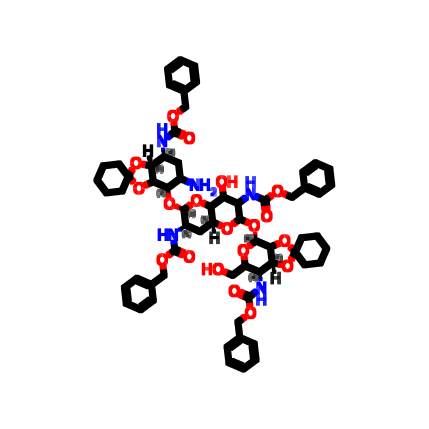 NC1C[C@@H](NC(=O)OCc2ccccc2)[C@H]2OC3(CCCCC3)OC2[C@@H]1O[C@H]1OC2C(O)C(NC(=O)OCc3ccccc3)C(O[C@H]3OC(CO)[C@@H](NC(=O)OCc4ccccc4)[C@@H]4OC5(CCCCC5)OC34)O[C@H]2C[C@@H]1NC(=O)OCc1ccccc1